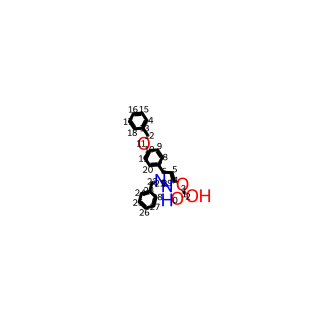 O=C(O)OC1=CC(c2ccc(OCc3ccccc3)cc2)N(Cc2ccccc2)N1